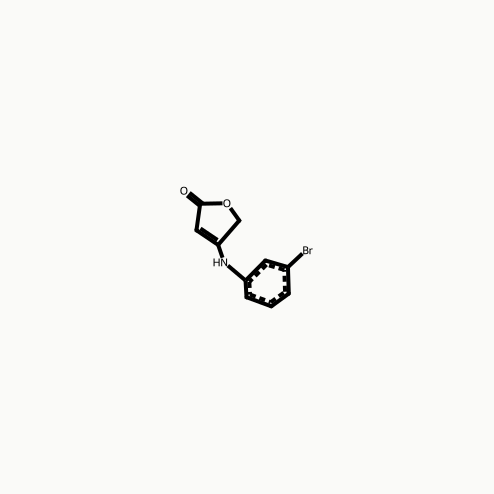 O=C1C=C(Nc2cccc(Br)c2)CO1